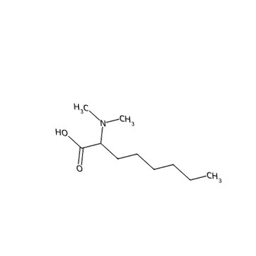 CCCCCCC(C(=O)O)N(C)C